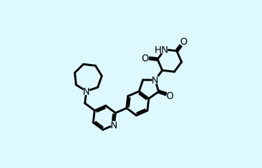 O=C1CCC(N2Cc3cc(-c4cc(CN5CCCCCC5)ccn4)ccc3C2=O)C(=O)N1